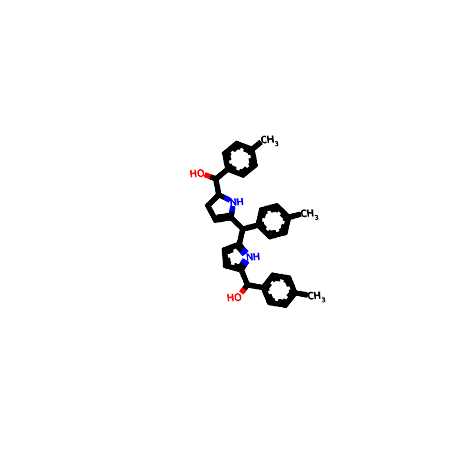 Cc1ccc(C(O)c2ccc(C(C3=CCC(C(O)c4ccc(C)cc4)N3)c3ccc(C)cc3)[nH]2)cc1